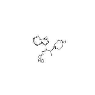 CC(C(=C=O)c1csc2ccccc12)N1CCNCC1.Cl